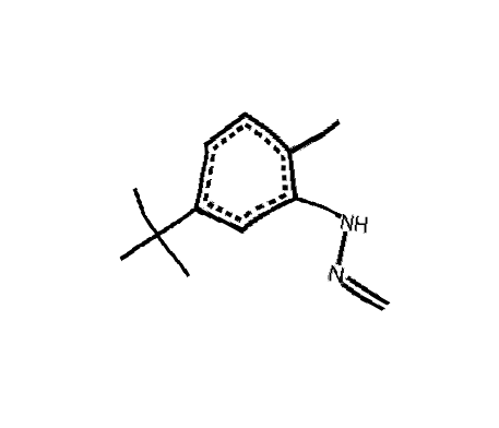 C=NNc1cc(C(C)(C)C)ccc1C